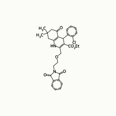 CCOC(=O)C1=C(COCCN2C(=O)c3ccccc3C2=O)NC2=C(C(=O)CC(C)(C)C2)C1c1ccccc1Cl